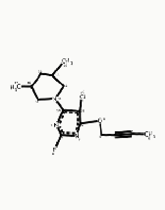 CC#CCOc1nc(F)nc(N2CC(C)CC(C)C2)c1Cl